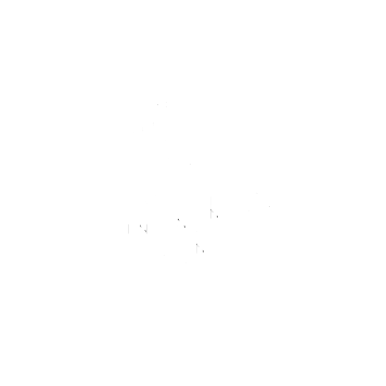 O=C(O)C1CCC1c1cccc(NC2N=C(NCC3CC3)N=C3CCC=C32)c1